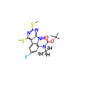 [2H]C([2H])([2H])N(C(=O)OC(C)(C)C)c1cc(F)cc2c1[nH]c1nc(SC)nc(SC)c12